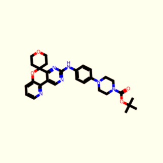 CC(C)(C)OC(=O)N1CCN(c2ccc(Nc3ncc4c(n3)C3(CCOCC3)Oc3cccnc3-4)cc2)CC1